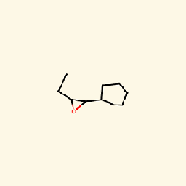 CCC1OC1C1CCCCC1